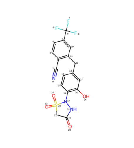 N#Cc1ccc(C(F)(F)F)cc1Cc1ccc(N2NC(=O)CS2(=O)=O)c(O)c1